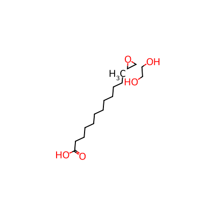 C1CO1.CCCCCCCCCCCC(=O)O.OCCO